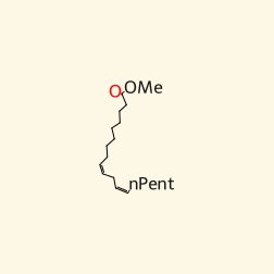 CCCCC/C=C\C/C=C\CCCCCCCC(=O)OC